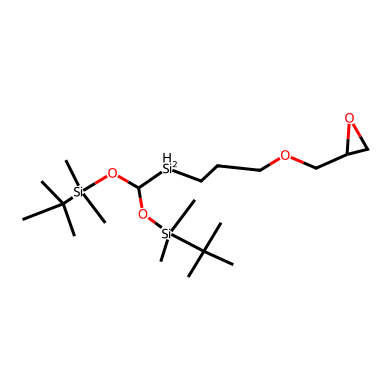 CC(C)(C)[Si](C)(C)OC(O[Si](C)(C)C(C)(C)C)[SiH2]CCCOCC1CO1